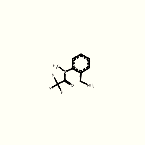 CN(C(=O)C(F)(F)F)c1ccccc1CN